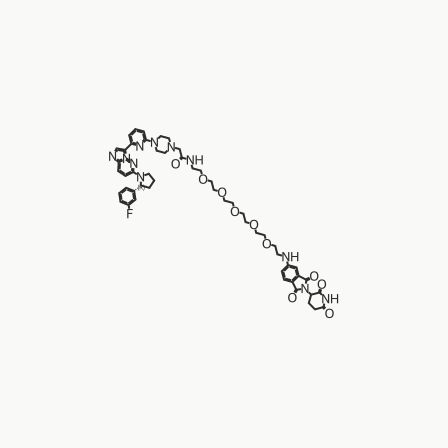 O=C(CN1CCN(c2cccc(-c3cnc4ccc(N5CCC[C@@H]5c5cccc(F)c5)nn34)n2)CC1)NCCOCCOCCOCCOCCOCCNc1ccc2c(c1)C(=O)N(C1CCC(=O)NC1=O)C2=O